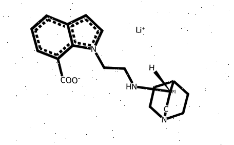 O=C([O-])c1cccc2ccn(CCN[C@H]3CN4CCC3CC4)c12.[Li+]